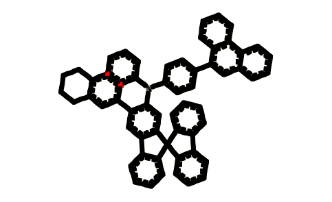 c1ccc(N(c2ccc(-c3cc4ccccc4c4ccccc34)cc2)c2cc3c(cc2-c2ccc4c(c2)CCCC4)-c2ccccc2C32c3ccccc3-c3ccccc32)cc1